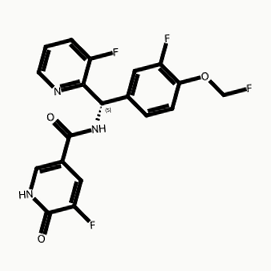 O=C(N[C@@H](c1ccc(OCF)c(F)c1)c1ncccc1F)c1c[nH]c(=O)c(F)c1